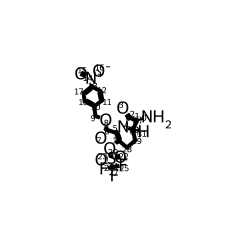 N[C@@H]1C(=O)N2C(C(=O)OCc3ccc([N+](=O)[O-])cc3)=C(OS(=O)(=O)C(F)(F)F)CC[C@@H]12